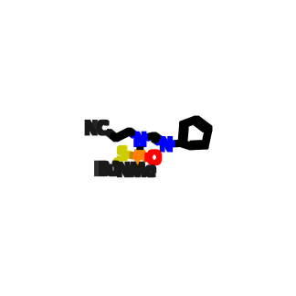 CCC(C)SP(=O)(NC)N(C=Nc1ccccc1)CCC#N